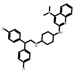 CN(C)c1cc(NC2CCC(NCC(c3ccc(Cl)cc3)c3ccc(Cl)cc3)CC2)nc2ccccc12